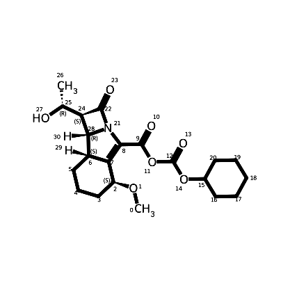 CO[C@H]1CCC[C@H]2C1=C(C(=O)OC(=O)OC1CCCCC1)N1C(=O)[C@H]([C@@H](C)O)[C@@H]21